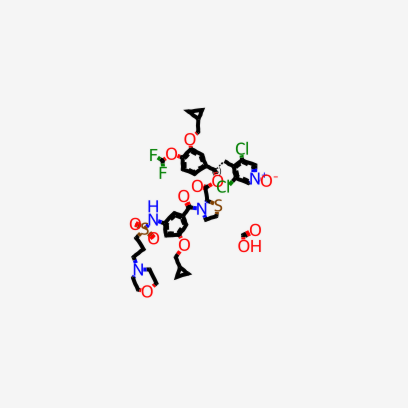 O=C(O[C@@H](Cc1c(Cl)c[n+]([O-])cc1Cl)c1ccc(OC(F)F)c(OCC2CC2)c1)C1SCCN1C(=O)c1cc(NS(=O)(=O)CCCN2CCOCC2)cc(OCC2CC2)c1.O=CO